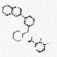 O=C(N[C@@H](c1cccc(-c2cnc3ccccc3c2)c1)[C@@H]1CCCCN1)c1nccc(C(F)(F)F)c1Cl